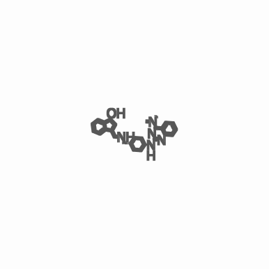 CN(C)c1nc(N[C@H]2CC[C@@H](CNCC3CC(O)c4ccccc43)CC2)nc2ccccc12